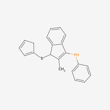 CC1=C(Pc2ccccc2)c2ccccc2[CH]1[Ti][C]1=CC=CC1